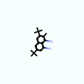 Cc1c(C(C)(C)C)cc2cc(C(C)(C)C)cc(N)c2c1N